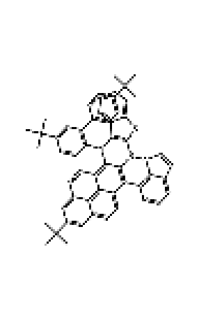 CC(C)(C)c1ccc(-c2cc(C(C)(C)C)ccc2N2c3c(sc4ccccc34)B3c4c(c5ccc6cc(C(C)(C)C)cc7ccc(c42)c5c67)-c2cccc4ccn3c24)cc1